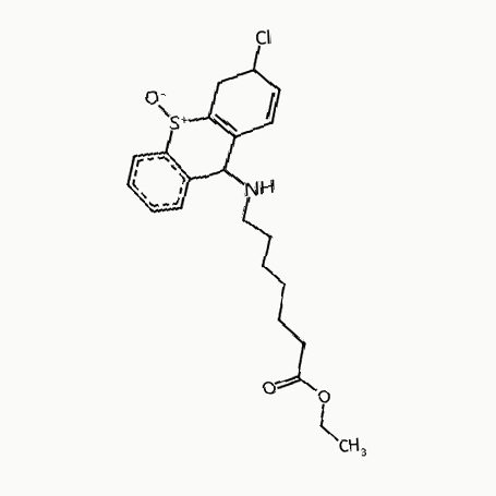 CCOC(=O)CCCCCCNC1C2=C(CC(Cl)C=C2)[S+]([O-])c2ccccc21